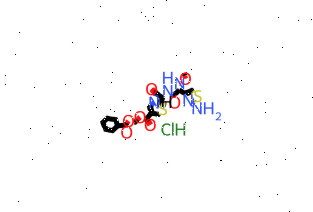 CON=C(C(=O)NC1C(=O)N2C=C(C(=O)OCOC(=O)C3CCCCC3)CS[C@H]12)c1csc(N)n1.Cl